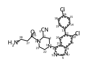 N#CC1CN(c2ncnc3cc(Cl)c(-c4ccc(Cl)cc4)cc23)CCN1C(=O)CCN